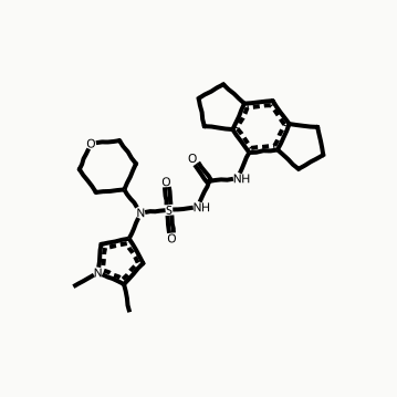 Cc1cc(N(C2CCOCC2)S(=O)(=O)NC(=O)Nc2c3c(cc4c2CCC4)CCC3)cn1C